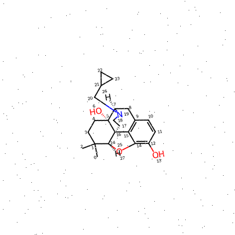 CC1(C)CC[C@@]2(O)[C@H]3Cc4ccc(O)c5c4[C@@]2(CCN3CC2CC2)[C@H]1O5